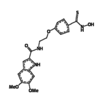 COc1cc2cc(C(=O)NCCOc3ccc(C(=S)NO)cc3)[nH]c2cc1OC